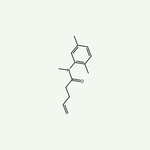 C=CCCC(=O)N(C)c1cc(C)ccc1C